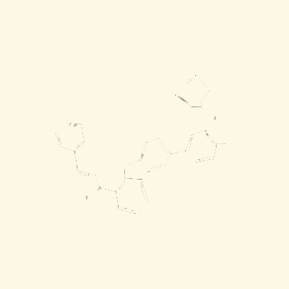 C/C(=N\C(=N)c1cccc2c1oc1ccc(-c3ccc(C)c(Nc4ccccc4)c3)cc12)c1ccccc1